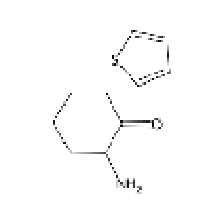 NC1CCCCC1=O.c1ccsc1